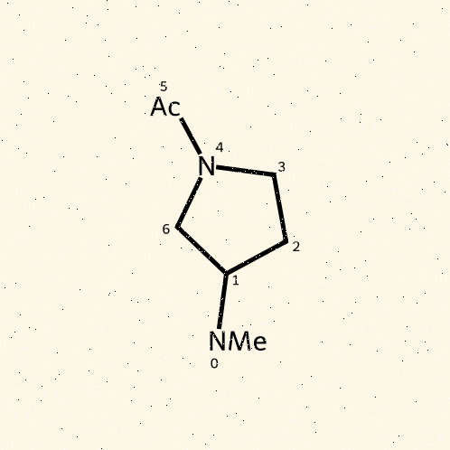 CNC1CCN(C(C)=O)C1